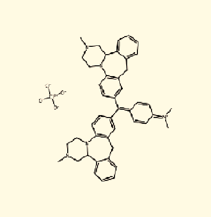 CN1CCN2c3ccc(C(=C4C=CC(=[N+](C)C)C=C4)c4ccc5c(c4)Cc4ccccc4C4CN(C)CCN54)cc3Cc3ccccc3C2C1.[O-][Cl+3]([O-])([O-])[O-]